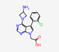 NC1CN(c2ncnc3c2c(-c2ccccc2Cl)cn3CC(=O)O)C1